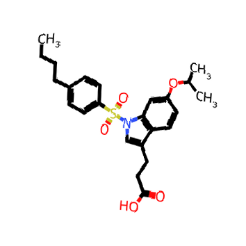 CCCCc1ccc(S(=O)(=O)n2cc(CCC(=O)O)c3ccc(OC(C)C)cc32)cc1